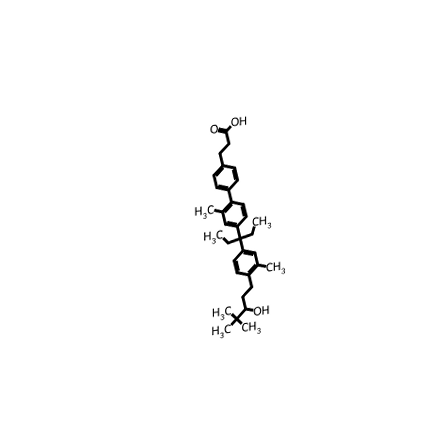 CCC(CC)(c1ccc(CCC(O)C(C)(C)C)c(C)c1)c1ccc(-c2ccc(CCC(=O)O)cc2)c(C)c1